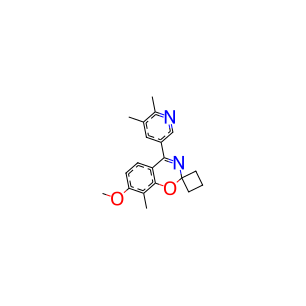 COc1ccc2c(c1C)OC1(CCC1)N=C2c1cnc(C)c(C)c1